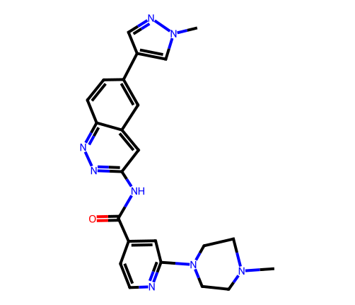 CN1CCN(c2cc(C(=O)Nc3cc4cc(-c5cnn(C)c5)ccc4nn3)ccn2)CC1